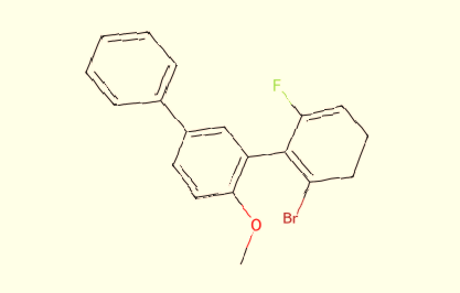 COc1ccc(-c2ccccc2)cc1C1=C(Br)CCC=C1F